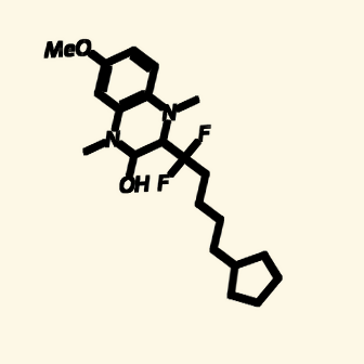 COc1ccc2c(c1)N(C)C(O)C(C(F)(F)CCCCC1CCCC1)N2C